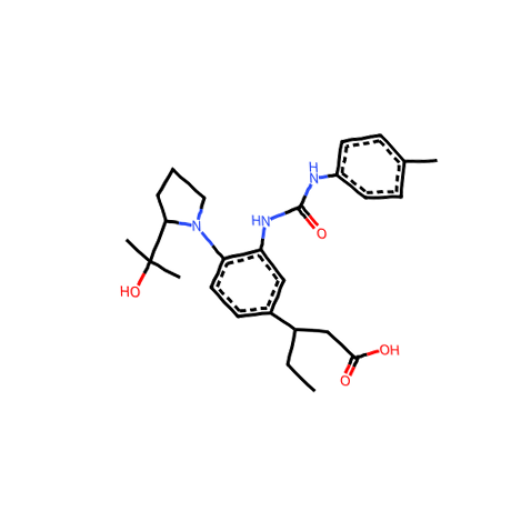 CCC(CC(=O)O)c1ccc(N2CCCC2C(C)(C)O)c(NC(=O)Nc2ccc(C)cc2)c1